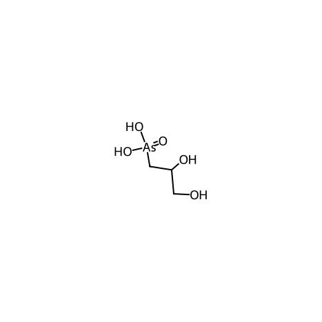 O=[As](O)(O)CC(O)CO